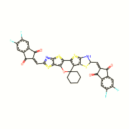 O=C1C(=Cc2nc3sc4c(c3s2)OC2(CCCCC2)c2c-4sc3c2SC(C=C2C(=O)c4cc(F)c(F)cc4C2=O)N3)C(=O)c2cc(F)c(F)cc21